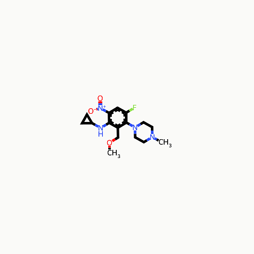 COCc1c(NC2CC2)c([N+](=O)[O-])cc(F)c1N1CCN(C)CC1